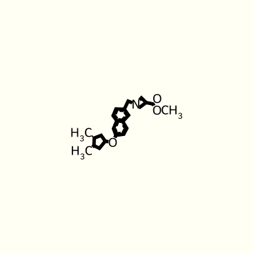 COC(=O)C1CN(Cc2ccc3cc(OC4CC(C)[C@H](C)C4)ccc3c2)C1